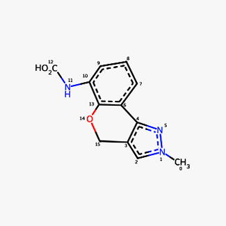 Cn1cc2c(n1)-c1cccc(NC(=O)O)c1OC2